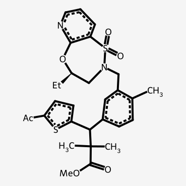 CC[C@@H]1CN(Cc2cc(C(c3ccc(C(C)=O)s3)C(C)(C)C(=O)OC)ccc2C)S(=O)(=O)c2cccnc2O1